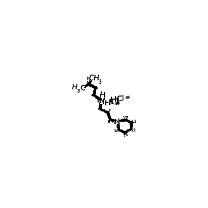 CC(C)CCNCCCN1CCCCC1.Cl.Cl